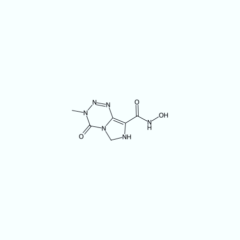 CN1N=NC2=C(C(=O)NO)NCN2C1=O